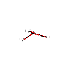 CCCCCCCCCCCCCCCCCCN1C=CN(CCCC)C1CCCCCCCCCCCCCC